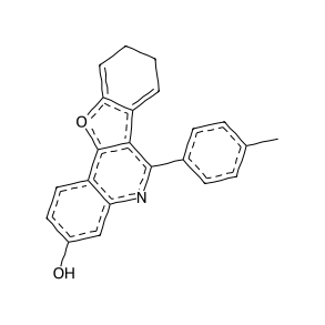 Cc1ccc(-c2nc3cc(O)ccc3c3oc4c(c23)=CCCC=4)cc1